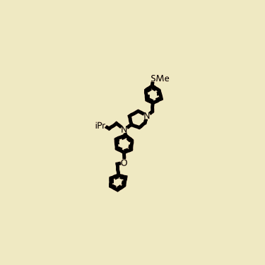 CSc1ccc(CN2CCC(N(CCC(C)C)c3ccc(OCc4ccccc4)cc3)CC2)cc1